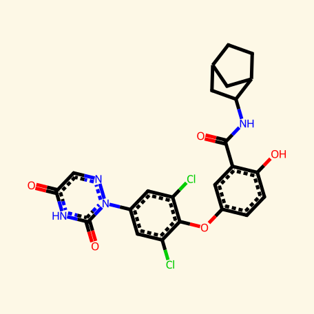 O=C(NC1CC2CCC1C2)c1cc(Oc2c(Cl)cc(-n3ncc(=O)[nH]c3=O)cc2Cl)ccc1O